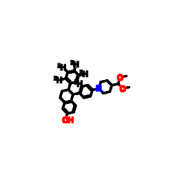 [2H]c1c([2H])c([2H])c([C@@H]2CCc3cc(O)ccc3[C@@H]2c2ccc(N3CCC(C(OC)OC)CC3)cc2)c([2H])c1[2H]